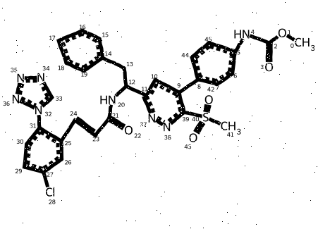 COC(=O)Nc1ccc(-c2cc(C(Cc3ccccc3)NC(=O)/C=C/c3cc(Cl)ccc3-n3cnnn3)nnc2S(C)(=O)=O)cc1